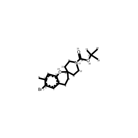 Cc1cc2c(cc1Br)CCC1(CCN(C(=O)OC(C)(C)C)CC1)O2